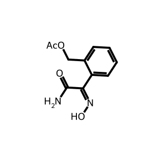 CC(=O)OCc1ccccc1/C(=N/O)C(N)=O